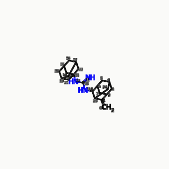 C=C1C2CC3CC(C2)C(NC(=N)NC24CC5CC(CC(C5)C2)C4)C1C3